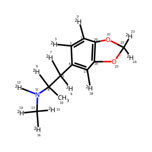 [2H]c1c([2H])c(C([2H])([2H])C([2H])(C)N([2H])C([2H])([2H])[2H])c([2H])c2c1OC([2H])([2H])O2